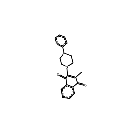 CC1=C(N2CCN(c3ccccn3)CC2)C(=O)c2ccccc2C1=O